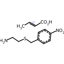 C/C=C/C(=O)O.NCCSCc1ccc([N+](=O)[O-])cc1